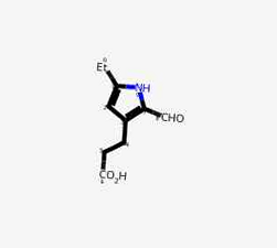 CCc1cc(CCC(=O)O)c(C=O)[nH]1